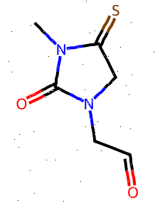 CN1C(=O)N(CC=O)CC1=S